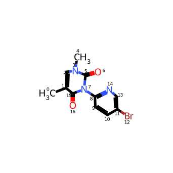 Cc1cn(C)c(=O)n(-c2ccc(Br)cn2)c1=O